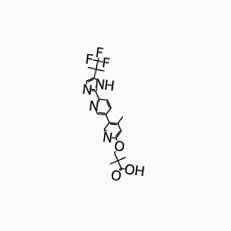 Cc1cc(OCC(C)(C)C(=O)O)ncc1-c1ccc(-c2ncc(C(C)(C)C(F)(F)F)[nH]2)nc1